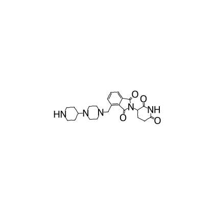 O=C1CCC(N2C(=O)c3cccc(CN4CCN(C5CCNCC5)CC4)c3C2=O)C(=O)N1